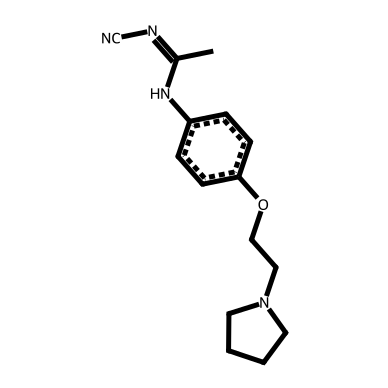 C/C(=N/C#N)Nc1ccc(OCCN2CCCC2)cc1